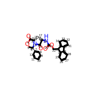 CC(C)[C@H]1C(=O)OC[C@@H](c2ccccc2)N1C(=O)[C@H](C)NC(=O)OCC1c2ccccc2-c2ccccc21